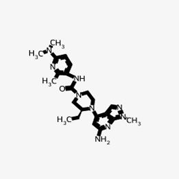 CC[C@H]1CN(C(=O)Nc2ccc(N(C)C)nc2C)CCN1c1cc(N)nc2c1cnn2C